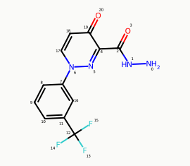 NNC(=O)c1nn(-c2cccc(C(F)(F)F)c2)ccc1=O